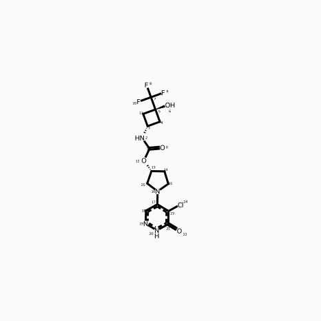 O=C(N[C@H]1C[C@@](O)(C(F)(F)F)C1)O[C@@H]1CCN(c2cn[nH]c(=O)c2Cl)C1